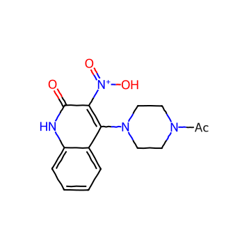 CC(=O)N1CCN(c2c([N+](=O)O)c(=O)[nH]c3ccccc23)CC1